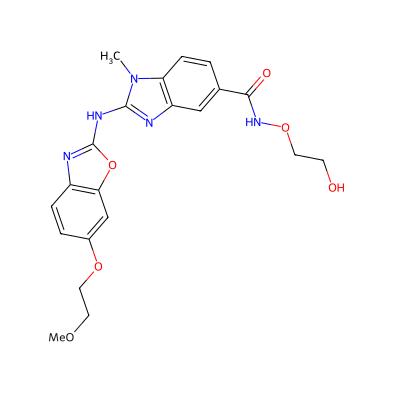 COCCOc1ccc2nc(Nc3nc4cc(C(=O)NOCCO)ccc4n3C)oc2c1